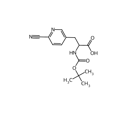 CC(C)(C)OC(=O)NC(Cc1ccc(C#N)nc1)C(=O)O